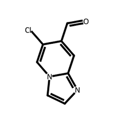 O=Cc1cc2nccn2cc1Cl